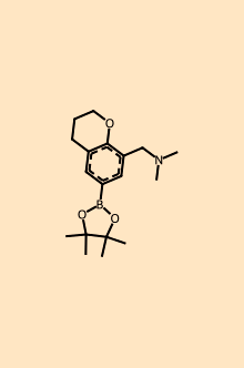 CN(C)Cc1cc(B2OC(C)(C)C(C)(C)O2)cc2c1OCCC2